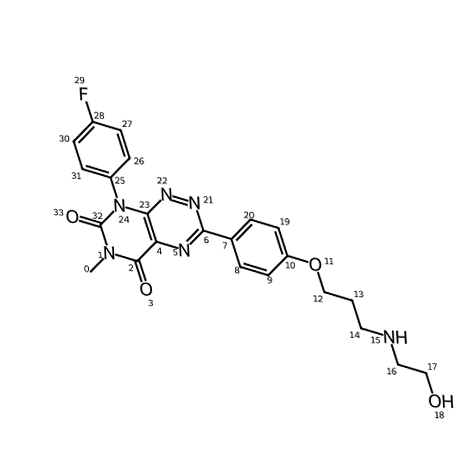 Cn1c(=O)c2nc(-c3ccc(OCCCNCCO)cc3)nnc2n(-c2ccc(F)cc2)c1=O